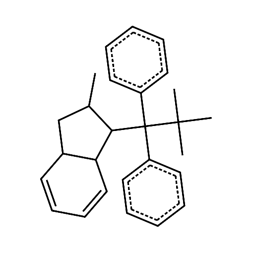 CC1CC2C=CC=CC2C1C(c1ccccc1)(c1ccccc1)C(C)(C)C